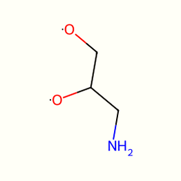 NCC([O])C[O]